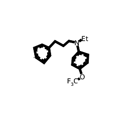 CCN(CCCc1cc[c]cc1)c1ccc(OC(F)(F)F)cc1